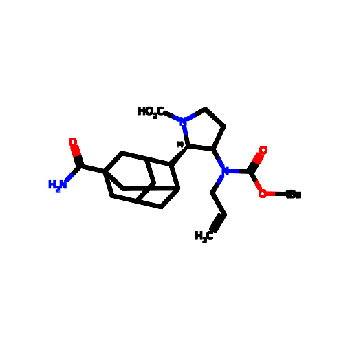 C=CCN(C(=O)OC(C)(C)C)C1CCN(C(=O)O)[C@@H]1C1C2CC3CC1CC(C(N)=O)(C3)C2